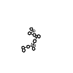 O=P1(c2ccccc2)c2ccccc2-c2cc3c(cc21)c1ccccc1n3-c1ccc(-c2nc(-c3ccc(-c4cccc5ccccc45)cc3)c3ccccc3n2)cc1